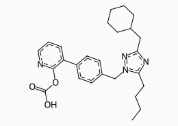 CCCCc1nc(CC2CCCCC2)nn1Cc1ccc(-c2cccnc2OC(=O)O)cc1